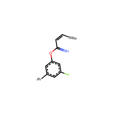 CN/C=C\C(=N)Oc1cc(F)cc(C(C)C)c1